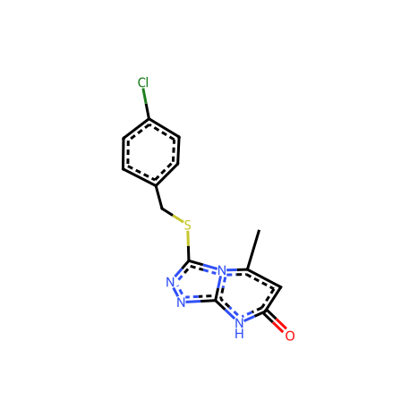 Cc1cc(=O)[nH]c2nnc(SCc3ccc(Cl)cc3)n12